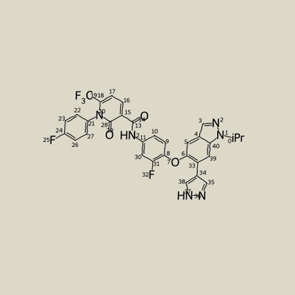 CC(C)n1ncc2cc(Oc3ccc(NC(=O)c4ccc(C(F)(F)F)n(-c5ccc(F)cc5)c4=O)cc3F)c(-c3cn[nH]c3)cc21